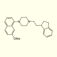 COc1ccc2cccc(N3CCN(CCC4CCc5ccccc54)CC3)c2c1